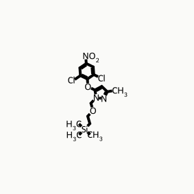 Cc1cc(Oc2c(Cl)cc([N+](=O)[O-])cc2Cl)n(COCC[Si](C)(C)C)n1